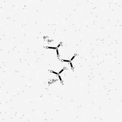 [Ba+2].[Ba+2].[Ba+2].[Bi+3].[O-]B([O-])[O-].[O-]B([O-])[O-].[O-]B([O-])[O-]